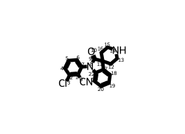 N#Cc1c(Cl)cccc1N1C(=O)C2(CCNCC2)c2ccccc21